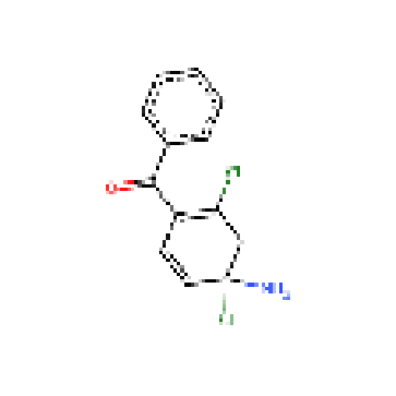 NC1(Cl)C=CC(C(=O)c2ccccc2)=C(Cl)C1